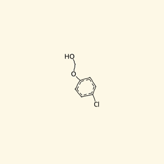 OCOc1ccc(Cl)cc1